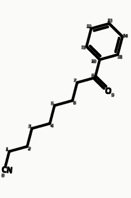 N#CCCCCCCCC(=O)c1ccccc1